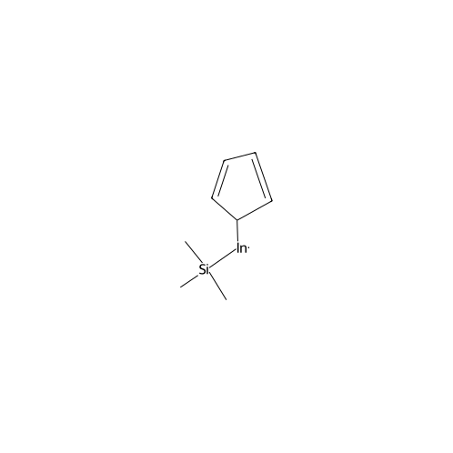 C[Si](C)(C)[In][CH]1C=CC=C1